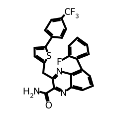 NC(=O)c1nc2cccc(-c3ccccc3F)c2nc1Cc1ccc(-c2ccc(C(F)(F)F)cc2)s1